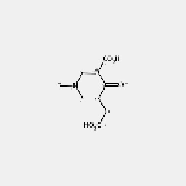 CN(C)/C=C(/C(=O)O)C(=O)CCC(=O)O